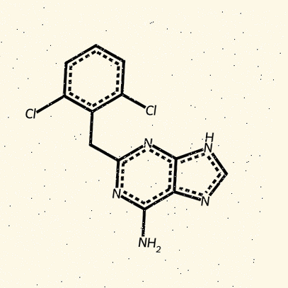 Nc1nc(Cc2c(Cl)cccc2Cl)nc2[nH]cnc12